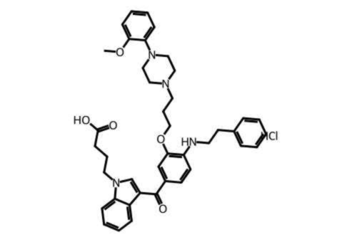 COc1ccccc1N1CCN(CCCOc2cc(C(=O)c3cn(CCCC(=O)O)c4ccccc34)ccc2NCCc2ccccc2)CC1.Cl